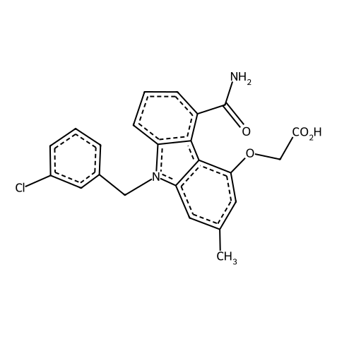 Cc1cc(OCC(=O)O)c2c3c(C(N)=O)cccc3n(Cc3cccc(Cl)c3)c2c1